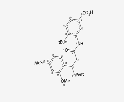 CCCCCC(CC(=O)Nc1cc(C(=O)O)ccc1C(C)(C)C)c1ccc(SC)cc1OC